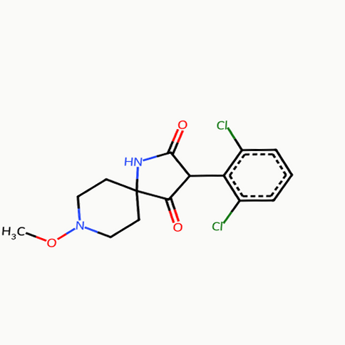 CON1CCC2(CC1)NC(=O)C(c1c(Cl)cccc1Cl)C2=O